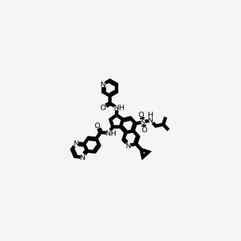 CC(C)CNS(=O)(=O)c1cc2c(c3cnc(C4CC4)cc13)C(NC(=O)c1ccc3nccnc3c1)CC2NC(=O)c1cccnc1